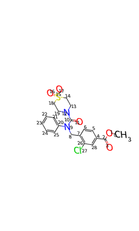 COC(=O)c1ccc(CN(C(=O)N2CCS(=O)(=O)CC2)c2ccccc2)c(Cl)c1